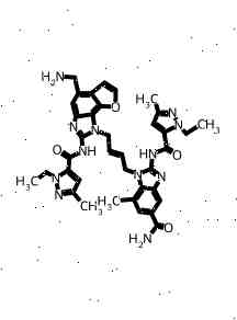 CCn1nc(C)cc1C(=O)Nc1nc2cc(C(N)=O)cc(C)c2n1C/C=C/Cn1c(NC(=O)c2cc(C)nn2CC)nc2cc(CN)c3ccoc3c21